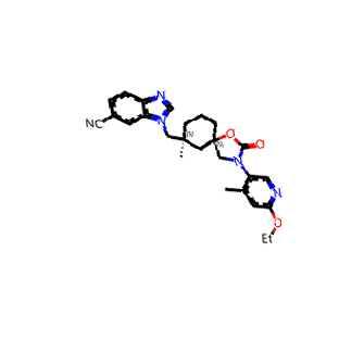 CCOc1cc(C)c(N2C[C@@]3(CCC[C@](C)(Cn4cnc5ccc(C#N)cc54)C3)OC2=O)cn1